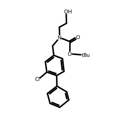 CC(C)(C)OC(=O)N(CCO)Cc1ccc(-c2ccccc2)c(Cl)c1